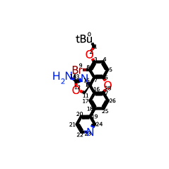 CC(C)(C)COc1ccc2c(c1Br)[C@]1(COC(N)=N1)c1cc(-c3cccnc3)ccc1O2